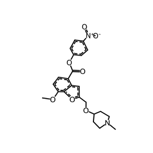 COc1ccc(C(=O)Oc2ccc([N+](=O)[O-])cc2)c2cc(COC3CCN(C)CC3)oc12